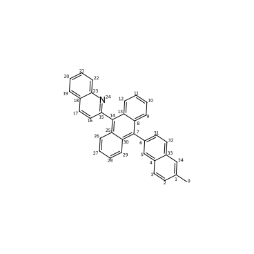 Cc1ccc2cc(-c3c4ccccc4c(-c4ccc5ccccc5n4)c4ccccc34)ccc2c1